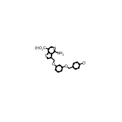 CCOC(=O)c1cnc(N)c2c(COc3cccc(OCc4ccc(Cl)cc4)c3)csc12